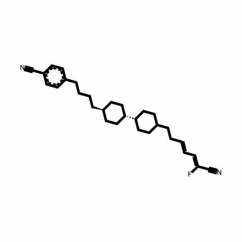 N#C/C(F)=C/C=C/CCC1CCC([C@H]2CC[C@H](CCCCc3ccc(C#N)cc3)CC2)CC1